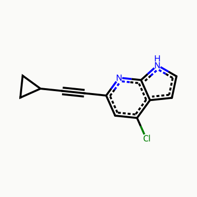 Clc1cc(C#CC2CC2)nc2[nH]ccc12